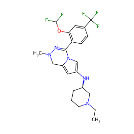 CCN1CCC[C@@H](Nc2cc3n(c2)C(c2ccc(C(F)(F)F)cc2OC(F)F)=NN(C)C3)C1